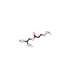 COCCC(=O)OCC(C)C